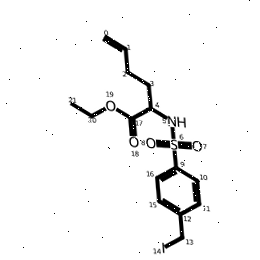 C=CCCC(NS(=O)(=O)c1ccc(CI)cc1)C(=O)OCC